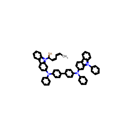 C/C=C\C=C/C(S)n1c2ccccc2c2ccc(N(c3ccccc3)c3ccc(-c4ccc(N(c5ccccc5)c5ccc6c7ccccc7n(-c7ccccc7)c6c5)cc4)cc3)cc21